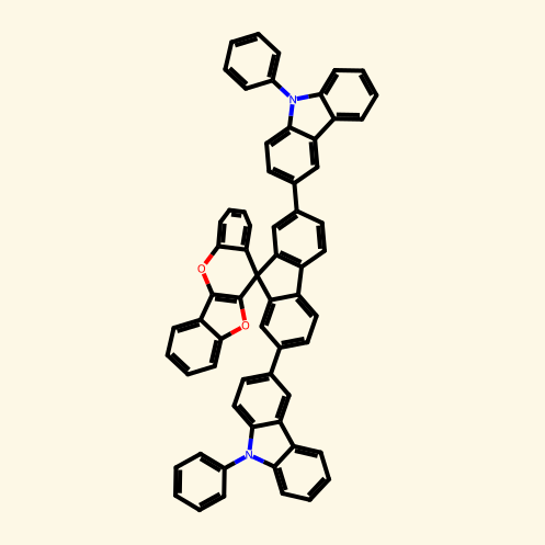 c1ccc(-n2c3ccccc3c3cc(-c4ccc5c(c4)C4(c6ccccc6Oc6c4oc4ccccc64)c4cc(-c6ccc7c(c6)c6ccccc6n7-c6ccccc6)ccc4-5)ccc32)cc1